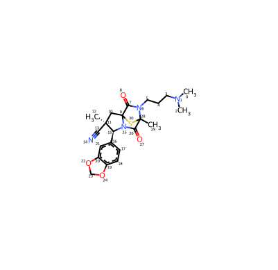 CN(C)CCCN1C(=O)C23C[C@](C)(C#N)[C@H](c4ccc5c(c4)OCO5)N2C(=O)C1(C)S3